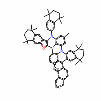 Cc1cc2c3c(c1)N(c1ccc4c(c1)C(C)(C)CCC4(C)C)c1c(oc4cc5c(cc14)C(C)(C)CCC5(C)C)B3c1ccc(C(C)(C)C)cc1N2c1cc2c(cc1-c1cccc3c1ccc1ccccc13)C(C)(C)CCC2(C)C